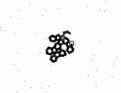 C/C=C\C=C1/Cc2ccccc2C12c1cc3c(cc1-c1c2ccc2oc4ccccc4c12)C1(c2ccccc2-c2ccccc21)c1ccccc1-3